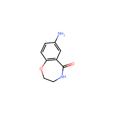 Nc1ccc2c(c1)C(=O)NCCO2